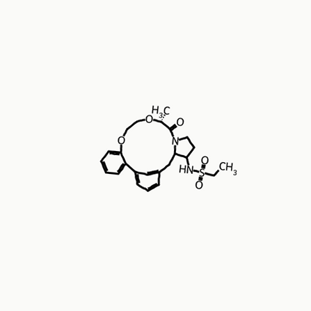 CCS(=O)(=O)NC1CCN2C(=O)[C@@H](C)OCCOc3ccccc3-c3cccc(c3)CC12